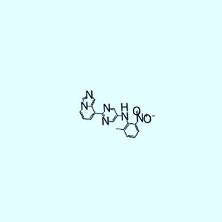 Cc1cccc([N+](=O)[O-])c1Nc1cnc(-c2cccn3cncc23)nc1